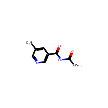 CCCCCC(=O)NC(=O)c1cncc([N+](=O)[O-])c1